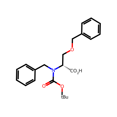 CC(C)(C)OC(=O)N(Cc1ccccc1)[C@H](COCc1ccccc1)C(=O)O